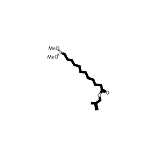 C=C(C)COC(=O)CCCCCCCCCC[CH2][Ti]([O]C)[O]C